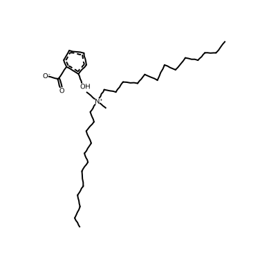 CCCCCCCCCCCCC[N+](C)(C)CCCCCCCCCCCC.O=C([O-])c1ccccc1O